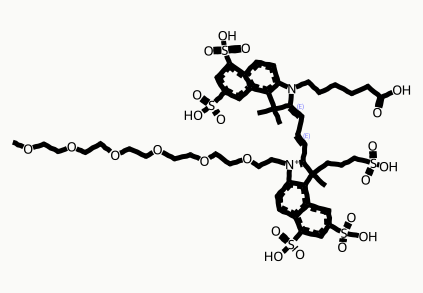 COCCOCCOCCOCCOCCOCC[N+]1=C(/C=C/C=C2/N(CCCCCC(=O)O)c3ccc4c(S(=O)(=O)O)cc(S(=O)(=O)O)cc4c3C2(C)C)C(C)(CCCS(=O)(=O)O)c2c1ccc1c(S(=O)(=O)O)cc(S(=O)(=O)O)cc21